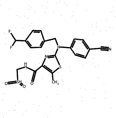 Cc1sc(N(Cc2ccc(C(F)F)cc2)c2ccc(C#N)cc2)nc1C(=O)NC[SH](=O)=O